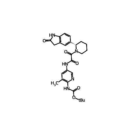 Cc1cc(NC(=O)C(=O)N2CCCC[C@H]2c2ccc3c(c2)CC(=O)N3)cnc1NC(=O)OC(C)(C)C